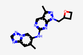 Cc1cc2ncnn2cc1Nc1ncc2c(C)nn(CC3CCO3)c2n1